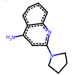 Nc1cc(N2CCCC2)nc2ccccc12